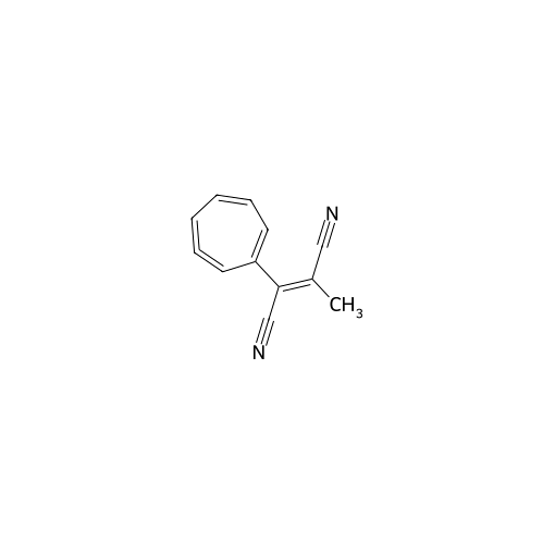 C/C(C#N)=C(\C#N)C1=CC=CC=C=C1